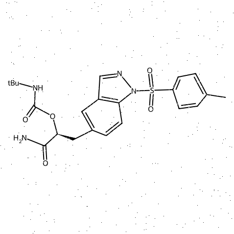 Cc1ccc(S(=O)(=O)n2ncc3cc(C[C@H](OC(=O)NC(C)(C)C)C(N)=O)ccc32)cc1